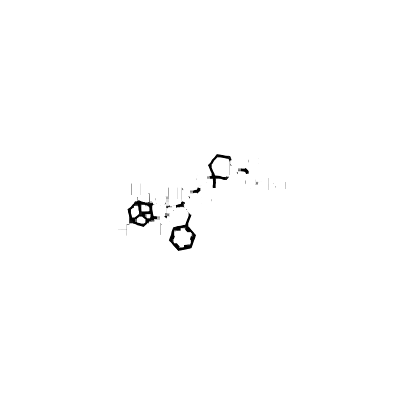 CC(C)(C)OC(=O)N1CCCC(C)(OC(=O)N[C@@H](Cc2ccccc2)B2O[C@@H]3C[C@@H]4C[C@@H](C4(C)C)[C@]3(C)O2)C1